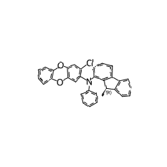 C[C@@H]1c2ccccc2-c2cccc(N(c3ccccc3)c3cc4c(cc3Cl)Oc3ccccc3O4)c21